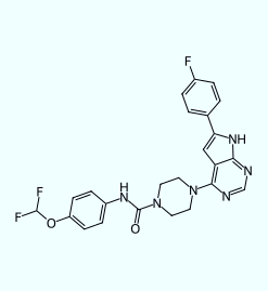 O=C(Nc1ccc(OC(F)F)cc1)N1CCN(c2ncnc3[nH]c(-c4ccc(F)cc4)cc23)CC1